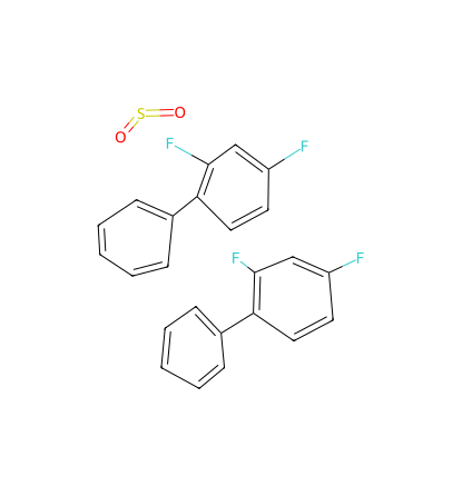 Fc1ccc(-c2ccccc2)c(F)c1.Fc1ccc(-c2ccccc2)c(F)c1.O=S=O